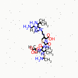 C=C/[N+](=C\C(NCCN)=C(\N)C(=C)C)C/C=C/C1=C(C(=O)O)N2C(=O)C(NC(=O)C(=N\OC(C)(C)C(=O)O)/C(=N/SC(=C)N)C(=C)C)C2SC1